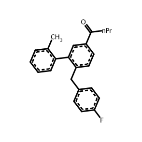 CCCC(=O)c1ccc(Cc2ccc(F)cc2)c(-c2ccccc2C)c1